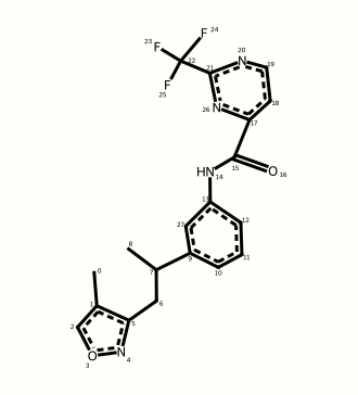 Cc1conc1CC(C)c1cccc(NC(=O)c2ccnc(C(F)(F)F)n2)c1